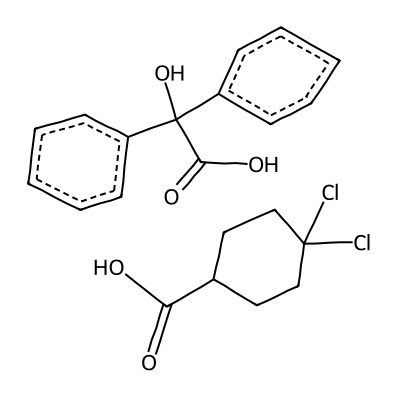 O=C(O)C(O)(c1ccccc1)c1ccccc1.O=C(O)C1CCC(Cl)(Cl)CC1